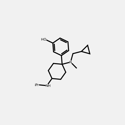 CC(C)NC1CCC(c2cccc(O)c2)(N(C)CC2CC2)CC1